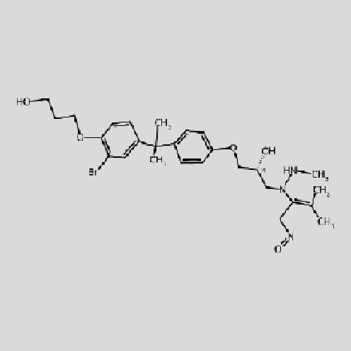 CNN(C[C@@H](O)COc1ccc(C(C)(C)c2ccc(OCCCO)c(Br)c2)cc1)C(CN=O)=C(C)C